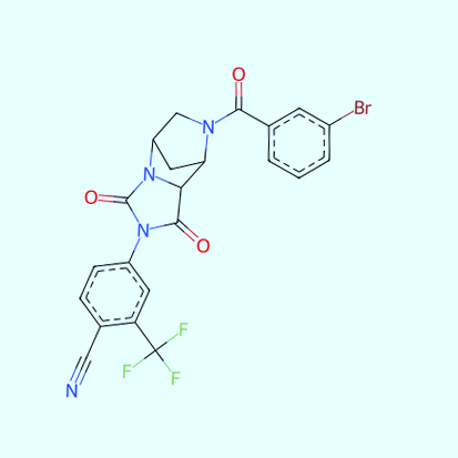 N#Cc1ccc(N2C(=O)C3C4CC(CN4C(=O)c4cccc(Br)c4)N3C2=O)cc1C(F)(F)F